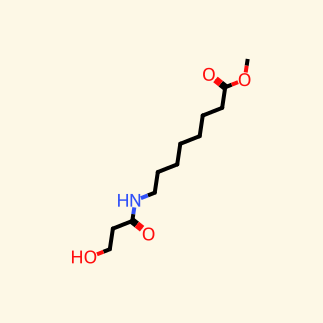 COC(=O)CCCCCCCNC(=O)CCO